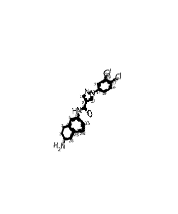 N[C@H]1CCc2cc(NC(=O)c3cnn(-c4ccc(Cl)c(Cl)c4)c3)ccc2C1